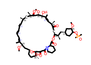 CO[C@H]1CC2CC[C@@H](C)[C@@](O)(O2)C(=O)C(=O)N2CCCCC2C(=O)O[C@H]([C@H](C)C[C@@H]2CCC(OP(C)(C)=O)[C@H](OC)C2)CC(=O)[C@H](C)/C=C(\C)[C@@H](O)[C@@H](OC)C(=O)[C@H](C)C[C@H](C)/C=C/C=C/C=C/1C